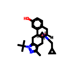 Cc1nn(C(C)(C)C)c2c1C[C@@]1(O)[C@H]3Cc4ccc(O)cc4[C@@]1(CCN3CC1CC1)C2